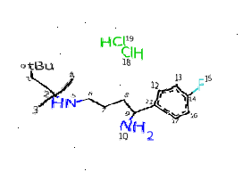 CC(C)(C)CC(C)(C)NCCCC(N)c1ccc(F)cc1.Cl.Cl